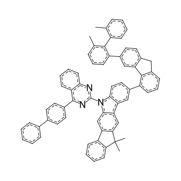 Cc1ccccc1-c1c(C)cccc1-c1ccc2c(c1)-c1c(cccc1-c1ccc3c(c1)c1cc4c(cc1n3-c1nc(-c3ccc(-c5ccccc5)cc3)c3ccccc3n1)-c1ccccc1C4(C)C)C2